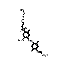 COc1cc(S(=O)(=O)CCOSOOO)c(C)cc1/N=N/c1cc(C)c(NCS(=O)(=O)O)cc1C